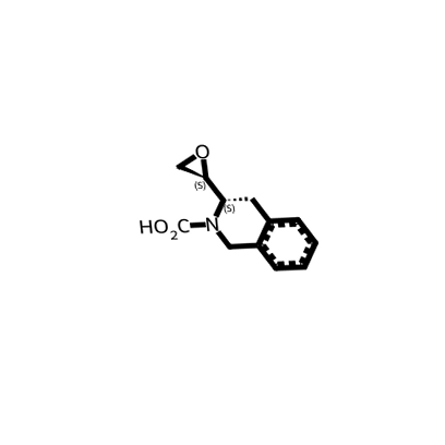 O=C(O)N1Cc2ccccc2C[C@H]1[C@H]1CO1